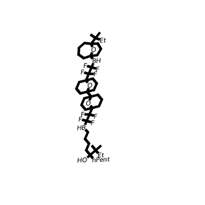 CCCCCC(O)(CCCCBC(F)(F)C(F)(F)C12CCCC(C34CCCC(C(F)(F)C(F)(F)BC56CCCCC(C(C)(C)CC)(CCC5)O6)(CCC3)O4)(CCC1)O2)C(C)(C)CC